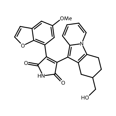 COc1cc(C2=C(c3c4c(n5ccccc35)CCC(CO)C4)C(=O)NC2=O)c2occc2c1